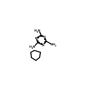 C1CCCCC1.Nc1nc(N)nc(N)n1